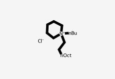 CCCCCCCCCC[N+]1(CCCC)CCCCC1.[Cl-]